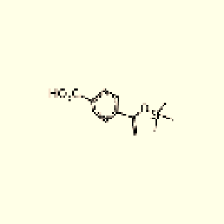 C=C(O[Si](C)(C)C)c1ccc(C(=O)O)cc1